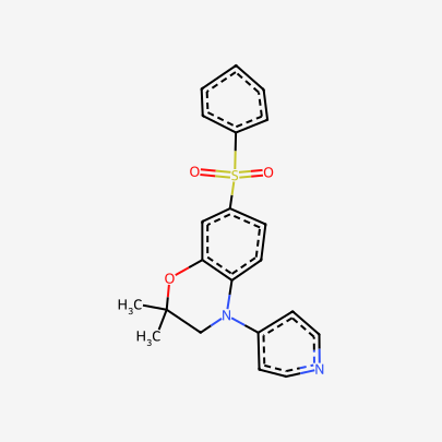 CC1(C)CN(c2ccncc2)c2ccc(S(=O)(=O)c3ccccc3)cc2O1